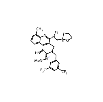 CCN(C[C@H]1CCCO1)c1nc2c(C)cccc2cc1CN(Cc1cc(C(F)(F)F)cc(C(F)(F)F)c1)/C(N=N)=N/NC